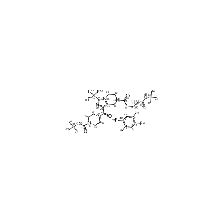 Cc1cc(F)c(C[C@H](CC(=O)N2CCn3c(C(F)(F)F)nc(C(=O)N4CCN(C(=O)OC(C)(C)C)CC4)c3C2)NC(=O)OC(C)(C)C)cc1F